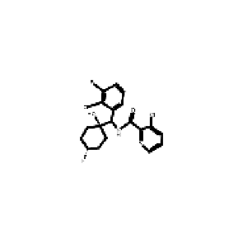 O=C(NC(c1cccc(F)c1Cl)[C@]1(O)CC[C@H](F)CC1)c1ncccc1Cl